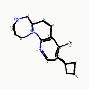 CCc1c(C2CCC2)cnc2c1CCC1CNCCN21